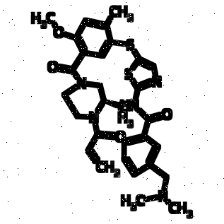 C=CC(=O)N1CCN(C(=O)c2cc(Sc3cnc(NC(=O)c4cccc(CN(C)C)c4)s3)c(C)cc2OC)C[C@H]1C